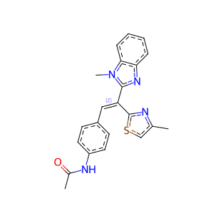 CC(=O)Nc1ccc(/C=C(\c2nc(C)cs2)c2nc3ccccc3n2C)cc1